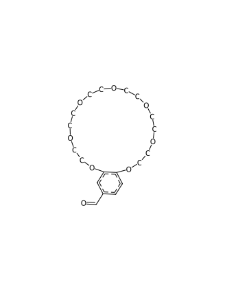 O=Cc1ccc2c(c1)OCCOCCOCCOCCOCCOCCO2